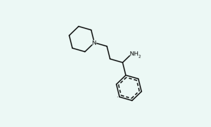 NC(CCN1CCCCC1)c1c[c]ccc1